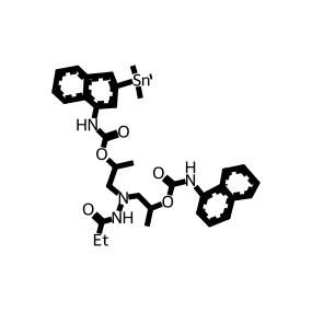 CCC(=O)NN(CC(C)OC(=O)Nc1cccc2ccccc12)CC(C)OC(=O)Nc1c[c]([Sn]([CH3])([CH3])[CH3])cc2ccccc12